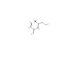 CCCC(C([O])C(CC)C(C)CC)C(C)(C)C